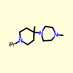 CC(C)N1CCC(C)(N2CCN(C)CC2)CC1